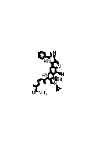 C=C(/C=C\C=C(/C)C(N)=O)[C@H](Nc1cc(C#N)c2ncc(C#N)c(N[C@H](CC)c3ccccc3)c2c1)C1=CN(C2CC2)NN1